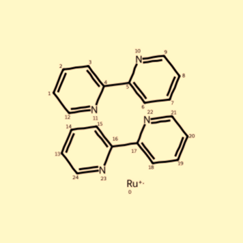 [Ru+].c1ccc(-c2ccccn2)nc1.c1ccc(-c2ccccn2)nc1